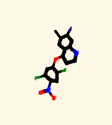 Cc1cc2c(Oc3cc(F)c([N+](=O)[O-])cc3F)ccnc2cc1I